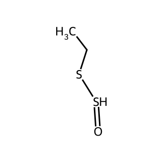 CCS[SH]=O